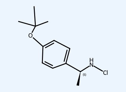 C[C@H](NCl)c1ccc(OC(C)(C)C)cc1